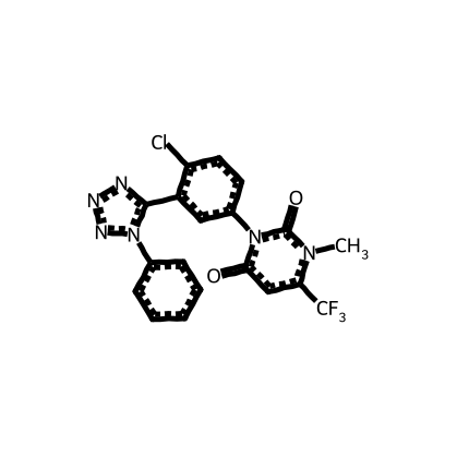 Cn1c(C(F)(F)F)cc(=O)n(-c2ccc(Cl)c(-c3nnnn3-c3ccccc3)c2)c1=O